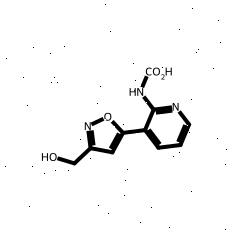 O=C(O)Nc1ncccc1-c1cc(CO)no1